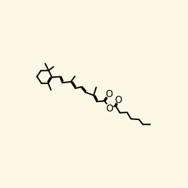 CCCCCCC(=O)OC(=O)/C=C(C)/C=C/C=C(C)/C=C/C1=C(C)CCCC1(C)C